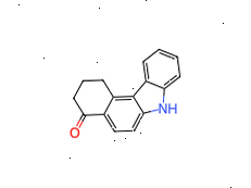 O=C1CCCc2c1ccc1[nH]c3ccccc3c21